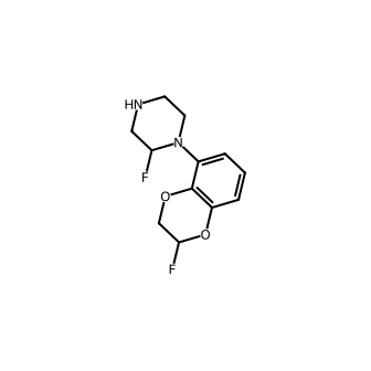 FC1COc2c(cccc2N2CCNCC2F)O1